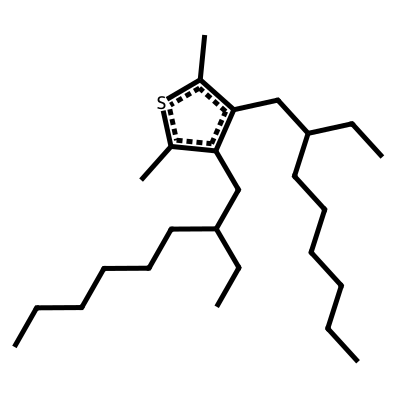 CCCCCCC(CC)Cc1c(C)sc(C)c1CC(CC)CCCCCC